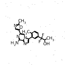 Cc1ncc(-c2cn3c(-c4cc(C(F)(F)C(C)O)ccc4C)cnc3c(N)n2)o1